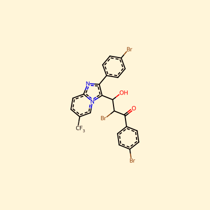 O=C(c1ccc(Br)cc1)C(Br)C(O)c1c(-c2ccc(Br)cc2)nc2ccc(C(F)(F)F)cn12